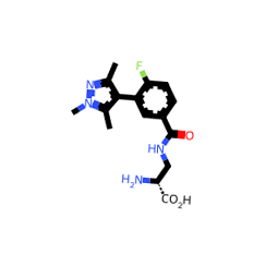 Cc1nn(C)c(C)c1-c1cc(C(=O)NC[C@@H](N)C(=O)O)ccc1F